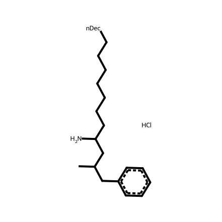 CCCCCCCCCCCCCCCCCC(N)CC(C)Cc1ccccc1.Cl